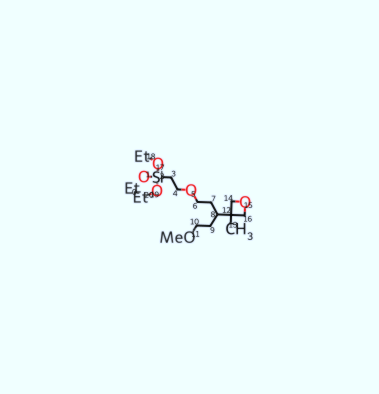 CCO[Si](CCOCCC(CCOC)C1(C)COC1)(OCC)OCC